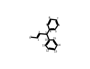 [CH2]/C=C/C(c1ccccc1)c1ccccc1